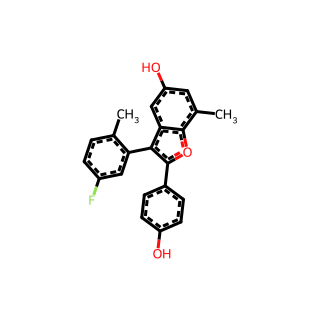 Cc1ccc(F)cc1-c1c(-c2ccc(O)cc2)oc2c(C)cc(O)cc12